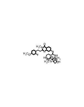 COc1ccc(CCc2nc3cc(N=C(NC4C[C@@H]5C[C@@H]([C@H]4C)C5(C)C)N4CCN[C@@H](C)C4)ccc3c(=O)n2C)c(F)c1